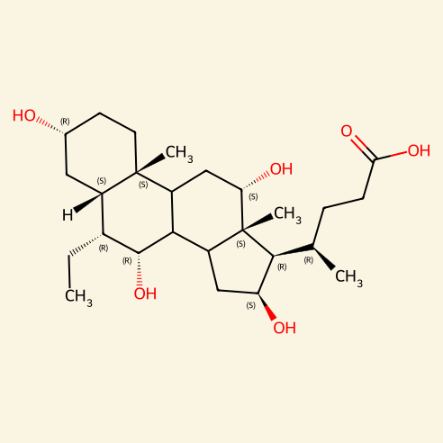 CC[C@H]1[C@@H](O)C2C3C[C@H](O)[C@H]([C@H](C)CCC(=O)O)[C@@]3(C)[C@@H](O)CC2[C@@]2(C)CC[C@@H](O)C[C@@H]12